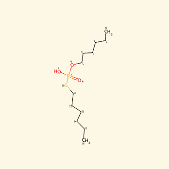 CCCCCCOP(=O)(O)SCCCCCC